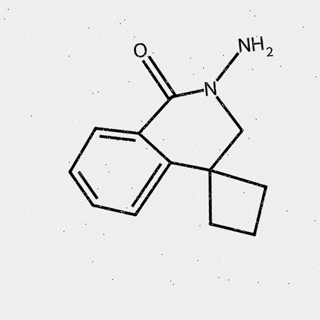 NN1CC2(CCC2)c2ccccc2C1=O